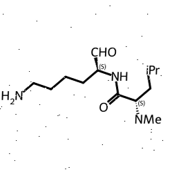 CN[C@@H](CC(C)C)C(=O)N[C@H](C=O)CCCCN